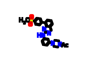 CC(=O)N1CCN(c2cccc(Nc3ncc4cccc(-c5ccc(S(C)(=O)=O)cc5)c4n3)c2)CC1